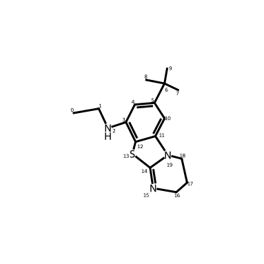 CCNc1cc(C(C)(C)C)cc2c1SC1=NCCCN12